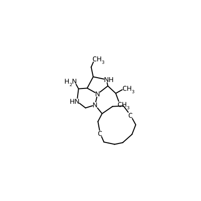 CCC1NC(C(C)C)N2C1C(N)NCN2C1CCCCCCCCCC1